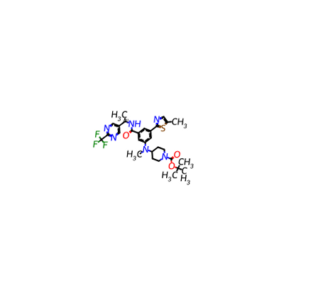 Cc1cnc(-c2cc(C(=O)N[C@H](C)c3cnc(C(F)(F)F)nc3)cc(N(C)C3CCN(C(=O)OC(C)(C)C)CC3)c2)s1